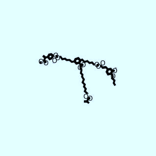 C=C(C)C(=O)OCCCCCCCCCCCOC(=O)c1cc(CCCCCCOOc2ccc(C(=C)C(=O)OC)cc2OC)ccc1CCCCCCOOC(=O)/C=C/c1ccc(OCCCC)c(OC)c1